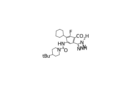 CC(C)(C)C1CCN(C(=O)Nc2cc(-c3nn[nH]n3)c(C(=O)O)c(F)c2C2CCCCC2)CC1